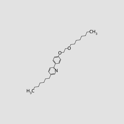 CCCCCCCCOCCOc1ccc(-c2ccc(CCCCCCC)cn2)cc1